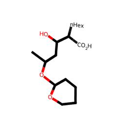 CCCCCCC(C(=O)O)C(O)CC(C)OC1CCCCO1